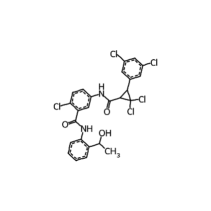 CC(O)c1ccccc1NC(=O)c1cc(NC(=O)C2C(c3cc(Cl)cc(Cl)c3)C2(Cl)Cl)ccc1Cl